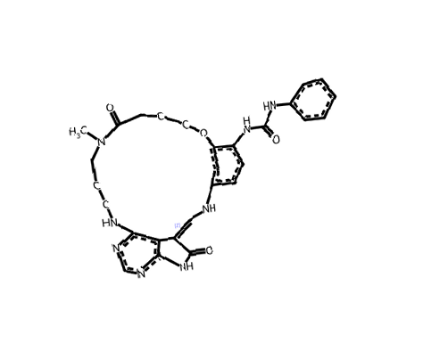 CN1CCCNc2ncnc3c2/C(=C/Nc2ccc(NC(=O)Nc4ccccc4)c(c2)OCCCC1=O)C(=O)N3